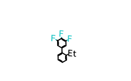 CCc1ccccc1-c1cc(F)c(F)c(F)c1